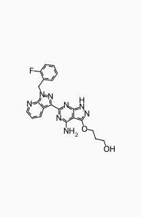 Nc1nc(-c2nn(Cc3ccccc3F)c3ncccc23)nc2[nH]nc(OCCCO)c12